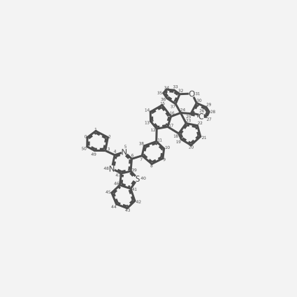 c1ccc(-c2nc(-c3cccc(-c4cccc5c4-c4ccccc4C54c5ccccc5Oc5ccccc54)c3)c3sc4ccccc4c3n2)cc1